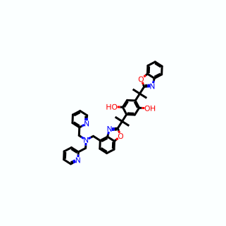 CC(C)(c1nc2ccccc2o1)c1cc(O)c(C(C)(C)c2nc3c(CN(Cc4ccccn4)Cc4ccccn4)cccc3o2)cc1O